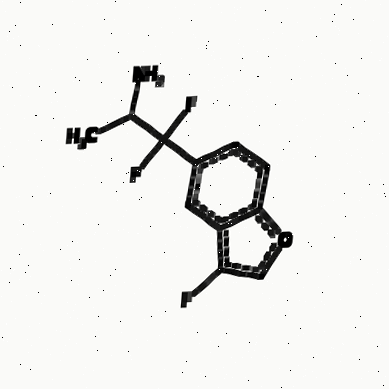 CC(N)C(F)(F)c1ccc2occ(F)c2c1